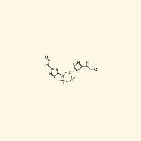 CC1(C)CC(C)(C)[C@@H](c2nnc(NC=O)s2)C[C@@H]1c1nnc(NC=O)s1